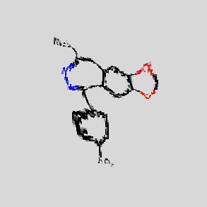 CSC1=NN=C(c2ccc([N+](=O)[O-])cc2)c2cc3c(cc2C1)OCO3